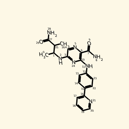 CC(Nc1cnc(C(N)=O)c(Nc2ccc(-c3ccccn3)cc2)n1)C(C)C(N)=O